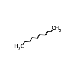 C=CC=CC=CCCCC